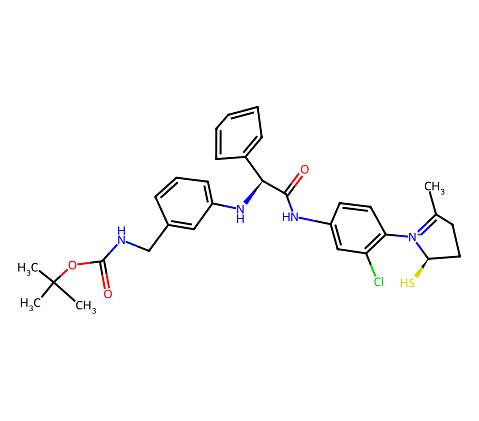 CC1=[N+](c2ccc(NC(=O)[C@@H](Nc3cccc(CNC(=O)OC(C)(C)C)c3)c3ccccc3)cc2Cl)[C@H](S)CC1